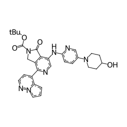 CC(C)(C)OC(=O)N1Cc2c(-c3ccnn4cccc34)ncc(Nc3ccc(N4CCC(O)CC4)cn3)c2C1=O